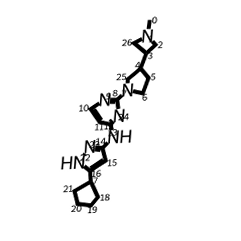 CN1CC(C2CCN(c3nccc(Nc4cc(C5CCCC5)[nH]n4)n3)C2)C1